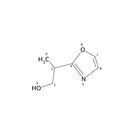 CC(CO)c1ncco1